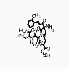 CCC[C@H](NC(=O)[C@@](N)(CCCC(N)C(=O)OC(C)(C)C)C(=O)C=Cc1ccccc1C)C(=O)N[C@@H](CC(C)C)C(N)=O